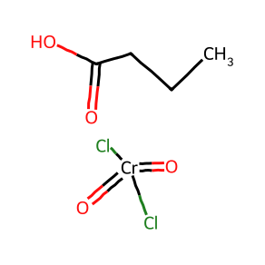 CCCC(=O)O.[O]=[Cr](=[O])([Cl])[Cl]